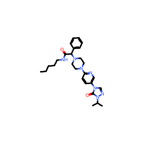 CCCCCNC(=O)C(c1ccccc1)N1CCN(c2ccc(-n3cnn(C(C)C)c3=O)cn2)CC1